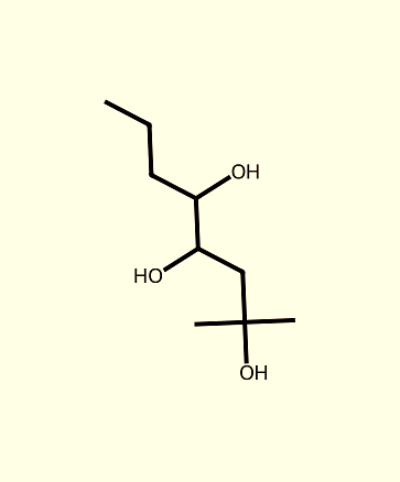 CCCC(O)C(O)CC(C)(C)O